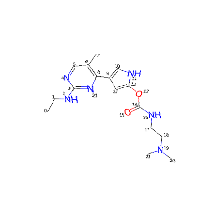 CCNc1ncc(C)c(-c2c[nH]c(OC(=O)NCCN(C)C)c2)n1